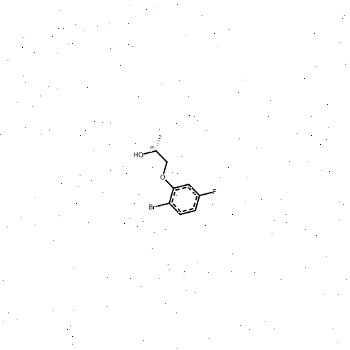 C[C@@H](O)COc1cc(F)ccc1Br